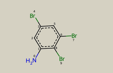 Nc1cc(Br)cc(Br)c1Br